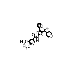 Cc1cc(C(=O)Nc2nc(-c3ccco3)c(C(O)C3CCOCC3)s2)cnc1C